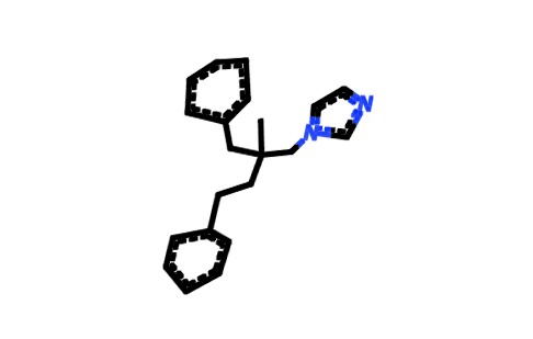 CC(CCc1ccccc1)(Cc1ccccc1)Cn1ccnc1